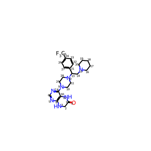 O=C1CNc2ncnc(N3CCN(C(CN4CCCCC4)c4ccc(C(F)(F)F)cc4)CC3)c2N1